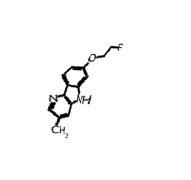 Cc1cnc2c(c1)[nH]c1cc(OCCF)ccc12